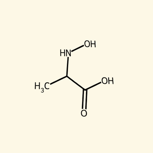 CC(NO)C(=O)O